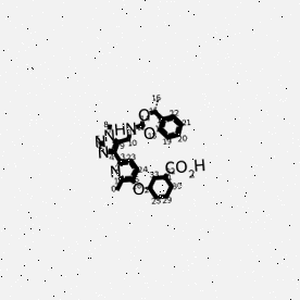 Cc1nc(-c2nnn(C)c2CNC(=O)O[C@H](C)c2ccccc2)ccc1O[C@H]1CCCC(C(=O)O)C1